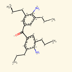 CCCc1cc(C(=O)c2cc(CCC)c(N)c(CCC)c2)cc(CCC)c1N